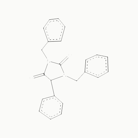 O=C1C(c2ccccc2)N(Cc2ccccc2)C(=O)N1Cc1ccccc1